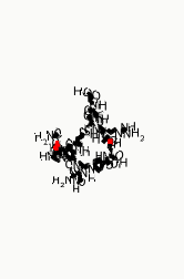 CO[C@@]12[C@H](COC(N)=O)C3=C(C(=O)C(C)=C(NC(C)(C)CCSSC[C@H](NC(=O)[C@H](CCCNC(=N)N)NC(C)(C)C(=O)CC[C@H](NC(=O)c4ccc(NCc5cnc6nc(N)[nH]c(=O)c6n5)cc4)C(=O)O)C(=O)N[C@@H](C)C(=O)NCC(=O)O)C3=O)N1CC1N[C@@H]12